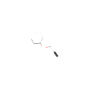 C#CCOC(CC)CO